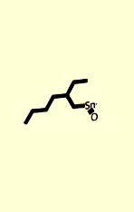 CCCCC(CC)[CH2][Sn]=[O]